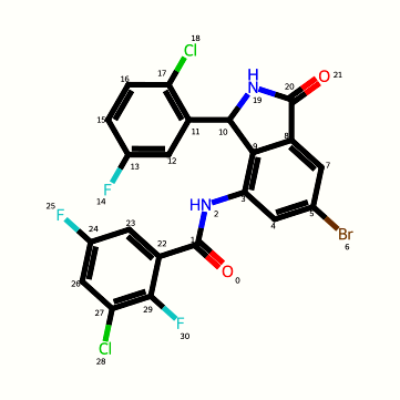 O=C(Nc1cc(Br)cc2c1C(c1cc(F)ccc1Cl)NC2=O)c1cc(F)cc(Cl)c1F